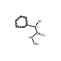 CCCCN[C@H](C)[C@H](S)c1ccccc1